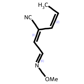 C\C=C/C(C#N)=C\C=N\OC